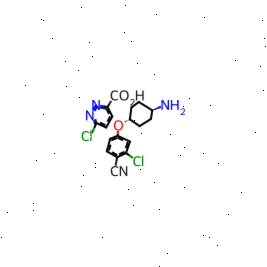 N#Cc1ccc(O[C@H]2CC[C@H](N)CC2)cc1Cl.O=C(O)c1ccc(Cl)nn1